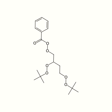 CC(C)(C)OOCCC(COOC(=O)c1ccccc1)OOC(C)(C)C